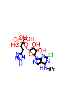 CC(C)Nc1nc(Cl)nc2c1cnn2[C@@H]1O[C@H](CO[C@](CO)(CCc2nn[nH]n2)P(=O)(O)O)[C@@H](O)[C@H]1O